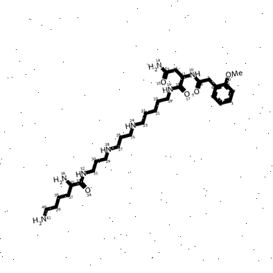 COc1ccccc1CC(=O)NC(CC(N)=O)C(=O)NCCCCCNCCCNCCCNC(=O)C(N)CCCCN